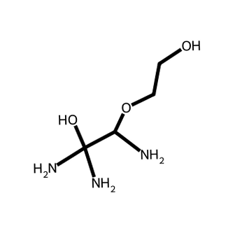 NC(OCCO)C(N)(N)O